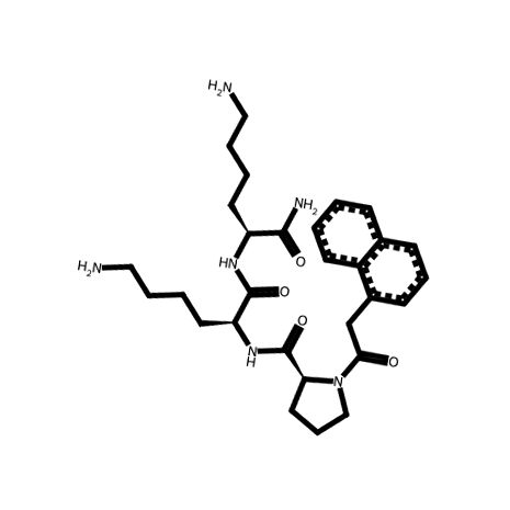 NCCCC[C@H](NC(=O)[C@H](CCCCN)NC(=O)[C@@H]1CCCN1C(=O)Cc1cccc2ccccc12)C(N)=O